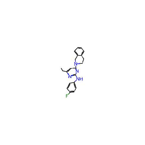 CCc1cc(N2CCc3ccccc3C2)nc(Nc2ccc(F)cc2)n1